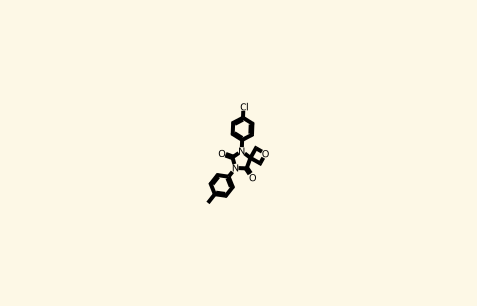 Cc1ccc(N2C(=O)N(c3ccc(Cl)cc3)C3(COC3)C2=O)cc1